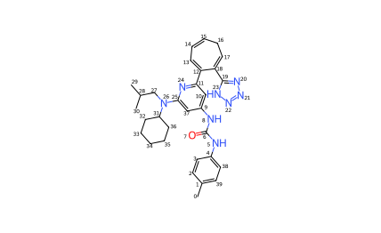 Cc1ccc(NC(=O)Nc2cc(C3=CC=CCC=C3c3nnn[nH]3)nc(N(CC(C)C)C3CCCCC3)c2)cc1